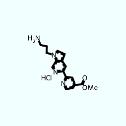 COC(=O)c1ccnc(-c2cc3ccn(CCCN)c3cn2)c1.Cl